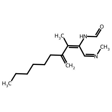 C=C(CCCCCC)/C(C)=C(\C=N/C)NC=O